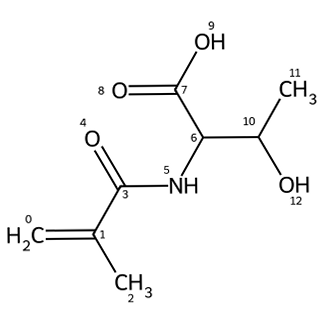 C=C(C)C(=O)NC(C(=O)O)C(C)O